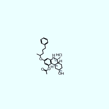 CC(=O)Oc1cc(OC(C)CCCc2ccccc2)cc2c1[C@@H]1C[C@H](O)CC[C@H]1[C@H](C)N2.Cl